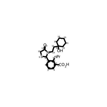 CCCc1c(C(=O)O)cccc1C1SCC(=O)N1CCC1(O)CCCCC1